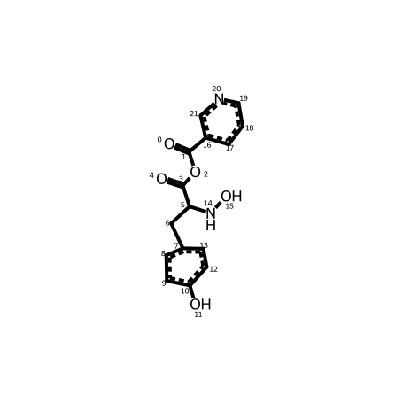 O=C(OC(=O)C(Cc1ccc(O)cc1)NO)c1cccnc1